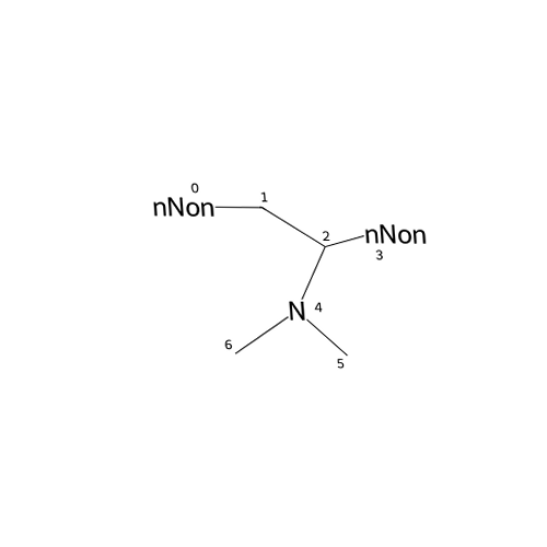 CCCCCCCCCCC(CCCCCCCCC)N(C)C